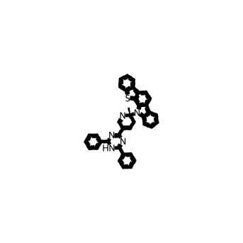 C[C@@]1(n2c3ccccc3c3ccc4c5ccccc5sc4c32)CC=C(C2=NC(c3ccccc3)NC(c3ccccc3)=N2)C=N1